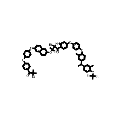 CCC(C)(CC)Oc1ccc(C(C)c2ccc(Oc3ccc(Oc4ccc(C(=O)C(N)(CC)C(C)(CC)Oc5ccc6cc(Oc7ccc(Oc8ccc(C(=O)C(C)(C)CC)cc8)cc7)ccc6c5)cc4)cc3)c(C)c2)cc1C